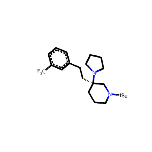 CC(C)(C)N1CCC[C@@](CCc2cccc(C(F)(F)F)c2)(N2CCCC2)C1